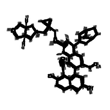 C#Cc1c(Cl)ccc2cc(O)cc(-c3c(SC(F)(F)F)cc4c(N5CC6CCC(C5)N6)nc(OCC5(CN6C[C@H]7COC[C@H]7C6)CC5)nc4c3F)c12